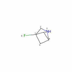 FC12CNC(C1)C2